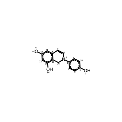 Oc1ccc(N2C=Cc3cc(O)cc(O)c3C2)cc1